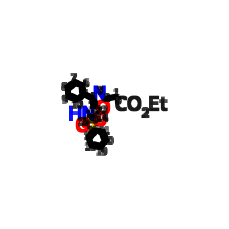 CCOC(=O)Cc1nc(-c2ccccc2)c(NS(=O)(=O)c2ccccc2)o1